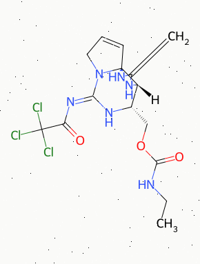 C=C1N[C@H]2[C@H](COC(=O)NCC)N/C(=N\C(=O)C(Cl)(Cl)Cl)N3CC=C[C@]23N1